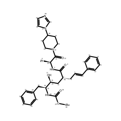 CC(C)[C@H](NC(=O)[C@H](CC=Cc1ccccc1)C[C@H](O)[C@H](Cc1ccccc1)NC(=O)OC(C)(C)C)C(=O)N1CCC(n2ccnc2)CC1